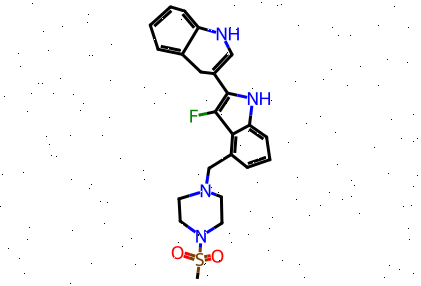 CS(=O)(=O)N1CCN(Cc2cccc3[nH]c(C4=CNc5ccccc5C4)c(F)c23)CC1